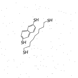 SCCCCCCCCCS.Sc1ccc2cc(S)ccc2c1